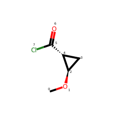 CO[C@@H]1C[C@H]1C(=O)Cl